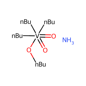 CCCC[O][V](=[O])(=[O])([CH2]CCC)([CH2]CCC)[CH2]CCC.N